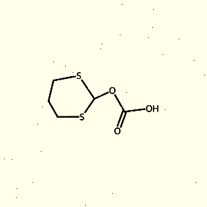 O=C(O)OC1SCCCS1